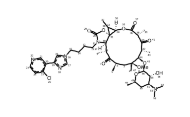 CO[C@@]1(C)C[C@@H](C)C(=O)[C@H](C)[C@H]2N(CCCCn3cnc(-c4cnccc4Cl)c3)C(=O)O[C@@]23C(C)[C@H]3OC(=O)[C@H](C)C(=O)[C@H](C)[C@H]1O[C@@H]1O[C@H](C)C[C@H](N(C)C)[C@H]1O